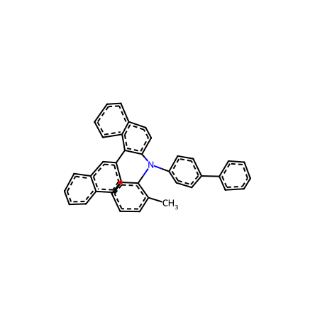 Cc1ccccc1N(c1ccc(-c2ccccc2)cc1)c1ccc2ccccc2c1-c1ccc2ccccc2c1